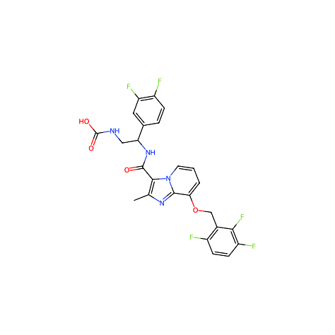 Cc1nc2c(OCc3c(F)ccc(F)c3F)cccn2c1C(=O)NC(CNC(=O)O)c1ccc(F)c(F)c1